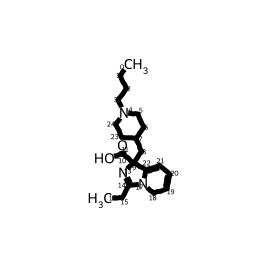 CCCCN1CCC(CC2(C(=O)O)N=C(CC)N3CC=CC=C32)CC1